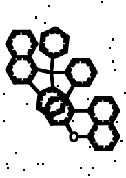 c1ccc(C2(c3ccccc3-c3cccc4c3-c3cccc5cccc(c35)O4)c3ccccc3-c3ccc4ccccc4c32)cc1